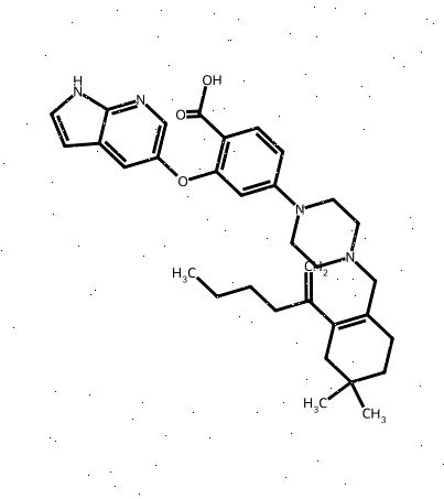 C=C(CCCC)C1=C(CN2CCN(c3ccc(C(=O)O)c(Oc4cnc5[nH]ccc5c4)c3)CC2)CCC(C)(C)C1